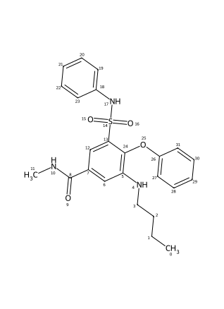 CCCCNc1cc(C(=O)NC)cc(S(=O)(=O)Nc2ccccc2)c1Oc1ccccc1